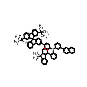 CC(C)(C)c1ccc2c(c1)C1(c3ccccc3-c3cc(-c4ccc(N(c5cccc(-c6ccc7ccccc7c6)c5)c5ccccc5-c5cccc6c5-c5ccccc5C6(C)C)cc4)ccc31)c1cc(C(C)(C)C)ccc1-2